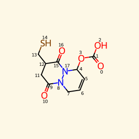 O=C(O)OC1C=CCN2C(=O)CC(CS)C(=O)N12